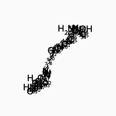 CN(c1cn(CCCCCCCCC(=O)N2CCN(c3ccc(N4CCCC(Oc5cc(-c6ccccc6O)nnc5N)C4)cc3)CC2)nn1)c1cccc2c1C(=O)N(C1CCC(=O)NC1=O)C2